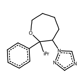 CC(C)C1(c2ccccc2)OCCCCC1n1cncn1